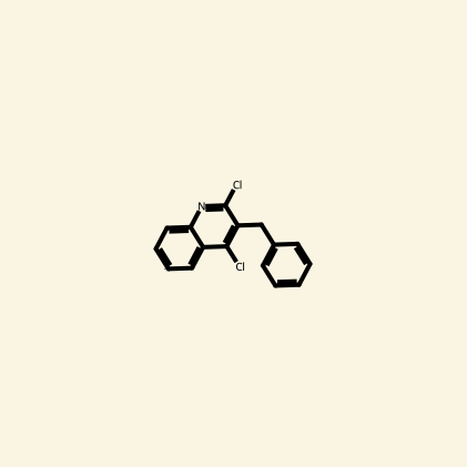 Clc1nc2cc[c]cc2c(Cl)c1Cc1ccccc1